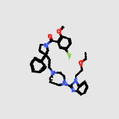 CCOCCn1c(N2CCCN(CCC3(c4ccccc4)CCN(C(=O)c4cc(F)ccc4OC)C3)CC2)nc2ccccc21